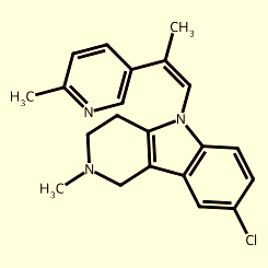 C/C(=C/n1c2c(c3cc(Cl)ccc31)CN(C)CC2)c1ccc(C)nc1